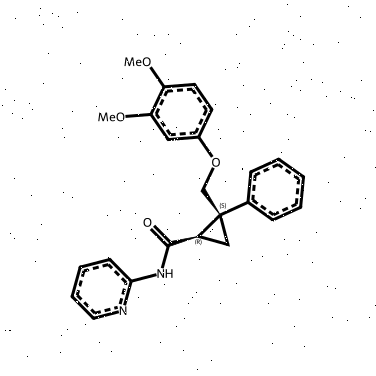 COc1ccc(OC[C@@]2(c3ccccc3)C[C@H]2C(=O)Nc2ccccn2)cc1OC